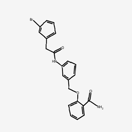 NC(=O)c1ccccc1OCc1cccc(NC(=O)Cc2cccc(Br)c2)c1